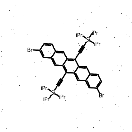 CC(C)[Si](C#Cc1c2cc3ccc(Br)cc3cc2c(C#C[Si](C(C)C)(C(C)C)C(C)C)c2cc3cc(Br)ccc3cc12)(C(C)C)C(C)C